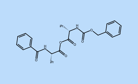 CC(C)[C@H](NC(=O)OCc1ccccc1)C(=O)OC(=O)[C@@H](NC(=O)c1ccccc1)C(C)C